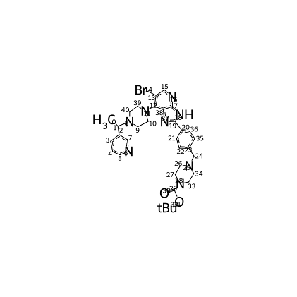 CC(c1cccnc1)N1CCN(c2c(Br)cnc3[nH]c(-c4ccc(CN5CCN(C(=O)OC(C)(C)C)CC5)cc4)nc23)CC1